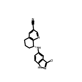 N#Cc1cnc2c(c1)CCC[C@H]2Nc1ccc2[nH]nc(Cl)c2c1